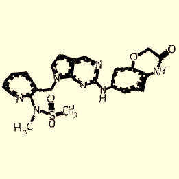 CN(c1ncccc1Cn1ccc2cnc(Nc3ccc4c(c3)OCC(=O)N4)nc21)S(C)(=O)=O